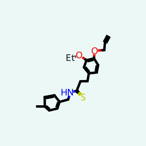 C#CCOc1ccc(CCC(=S)NCc2ccc(C)cc2)cc1OCC